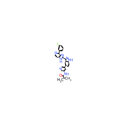 CC(C)C(=O)Nc1cncc(-c2ccc3[nH]nc(-c4nc5c(-c6cccc(F)c6)nccc5[nH]4)c3c2)c1